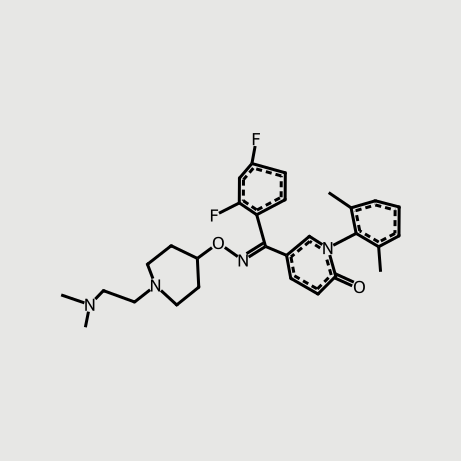 Cc1cccc(C)c1-n1cc(C(=NOC2CCN(CCN(C)C)CC2)c2ccc(F)cc2F)ccc1=O